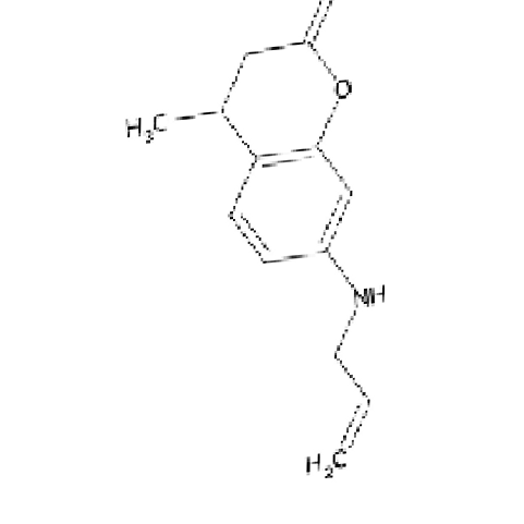 C=CCNc1ccc2c(c1)OC(=O)CC2C